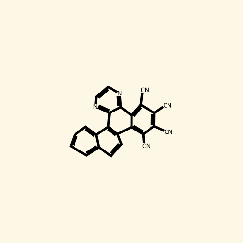 N#Cc1c(C#N)c(C#N)c2c3nccnc3c3c4ccccc4ccc3c2c1C#N